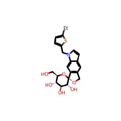 CCc1ccc(Cn2ccc3cc4c(cc32)[C@]2(OC4)O[C@H](CO)[C@@H](O)[C@H](O)[C@H]2O)s1